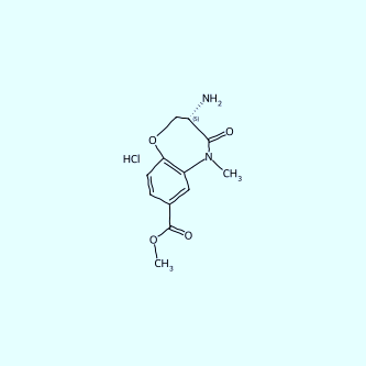 COC(=O)c1ccc2c(c1)N(C)C(=O)[C@@H](N)CO2.Cl